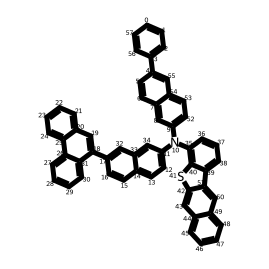 c1ccc(-c2ccc3cc(N(c4ccc5ccc(-c6cc7ccccc7c7ccccc67)cc5c4)c4cccc5c4sc4cc6ccccc6cc45)ccc3c2)cc1